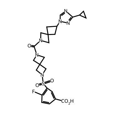 O=C(O)c1ccc(F)c(S(=O)(=O)N2CC3(CN(C(=O)N4CC5(CC(n6cnc(C7CC7)n6)C5)C4)C3)C2)c1